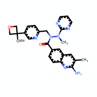 COC1(c2ccc(CN(C(=O)c3ccc4nc(N)c(C)cc4c3)N(C)c3ncccn3)nc2)COC1